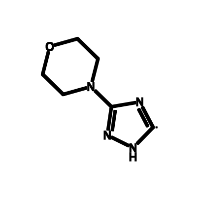 [c]1nc(N2CCOCC2)n[nH]1